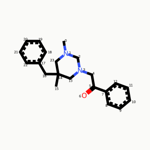 CN1CN(CC(=O)c2ccccc2)CC(C)(Cc2ccccc2)C1